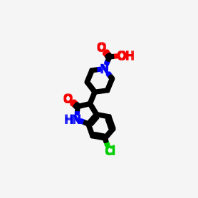 O=C1Nc2cc(Cl)ccc2C1C1CCN(C(=O)O)CC1